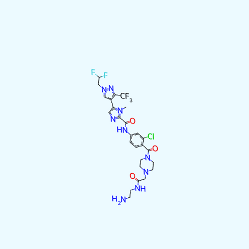 Cn1c(-c2cn(CC(F)F)nc2C(F)(F)F)cnc1C(=O)Nc1ccc(C(=O)N2CCN(CC(=O)NCCN)CC2)c(Cl)c1